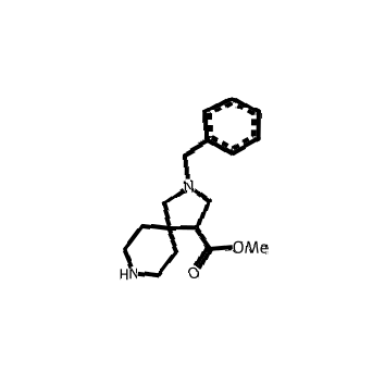 COC(=O)C1CN(Cc2ccccc2)CC12CCNCC2